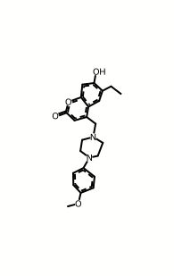 CCc1cc2c(CN3CCN(c4ccc(OC)cc4)CC3)cc(=O)oc2cc1O